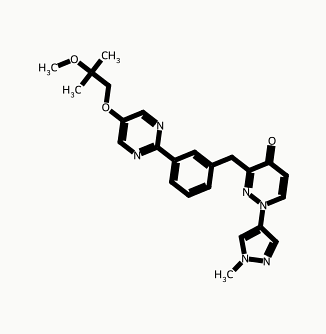 COC(C)(C)COc1cnc(-c2cccc(Cc3nn(-c4cnn(C)c4)ccc3=O)c2)nc1